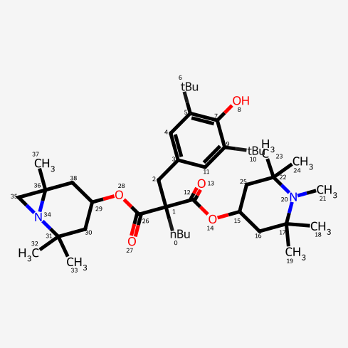 CCCCC(Cc1cc(C(C)(C)C)c(O)c(C(C)(C)C)c1)(C(=O)OC1CC(C)(C)N(C)C(C)(C)C1)C(=O)OC1CC(C)(C)N2CC2(C)C1